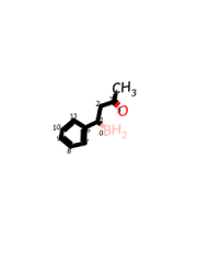 BC(CC(C)=O)c1ccccc1